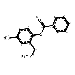 CCOC(=O)Cc1cc(C(C)(C)C)ccc1SC(=O)c1ccccc1